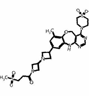 Cc1cc(C2CN(C3CN(C(=O)CCS(C)(=O)=O)C3)C2)cc2c1OCc1c(ncnc1N1CCS(=O)(=O)CC1)N2